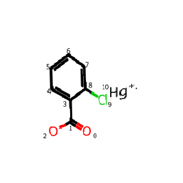 O=C([O-])c1ccccc1Cl.[Hg+]